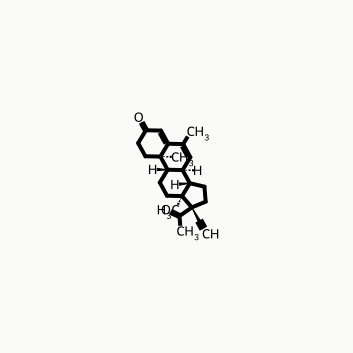 C#C[C@]1(C(C)=O)CC[C@H]2[C@@H]3C=C(C)C4=CC(=O)CC[C@]4(C)[C@H]3CC[C@@]21C